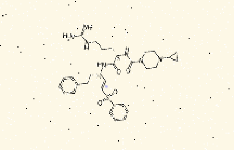 N=C(N)NCCC[C@H](NC(=O)N1CCN(C2CC2)CC1)C(=O)N[C@H](/C=C/S(=O)(=O)c1ccccc1)CCc1ccccc1